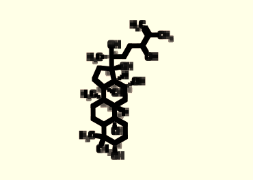 C=C(C)C(O)CC[C@](C)(O)[C@@]1(O)CC[C@@]2(C)[C@@H]1[C@H](O)C[C@@H]1[C@@]3(C)CC[C@@H](O)C(C)(C)C3CC[C@]12C